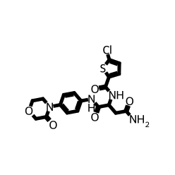 NC(=O)CC(NC(=O)c1ccc(Cl)s1)C(=O)Nc1ccc(N2CCOCC2=O)cc1